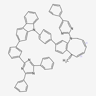 C=C1/C=C\C=C/CN(c2ncc(-c3ccccc3)cn2)c2cc(-c3ccc(-n4c5ccccc5c5ccc(-c6cccc(-c7nc(-c8ccccc8)nc(-c8ccccc8)n7)c6)cc54)cc3)ccc21